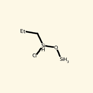 CCC[SiH](Cl)O[SiH3]